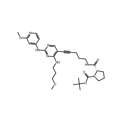 COCCCNc1nc(Nc2ccnc(OC)c2)ncc1C#CCCCNC(=O)[C@@H]1CCCN1C(=O)OC(C)(C)C